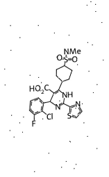 CNS(=O)(=O)C1CCC(C2=C(C(=O)O)C(c3cccc(F)c3Cl)N=C(c3nccs3)N2)CC1